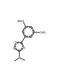 COc1cc(C=O)cc(-c2nc(N(C)C)no2)c1